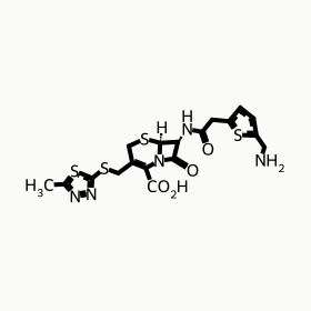 Cc1nnc(SCC2=C(C(=O)O)N3C(=O)[C@@H](NC(=O)Cc4ccc(CN)s4)[C@@H]3SC2)s1